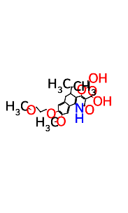 COCCCOc1cc2c(cc1OC)-c1[nH]c(=O)c(C(=O)O)c(OCCO)c1C(C(C)C)C2